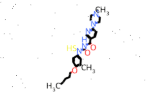 CCCCCOc1ccc(N(S)C(=O)NC(=O)c2ccc(N3CCN(C)CC3)nc2)cc1C